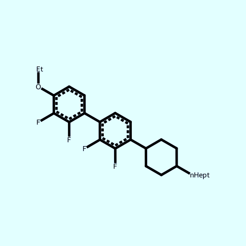 CCCCCCCC1CCC(c2ccc(-c3ccc(OCC)c(F)c3F)c(F)c2F)CC1